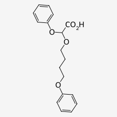 O=C(O)C(OCCCCOc1ccccc1)Oc1ccccc1